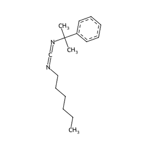 CCCCCCN=C=NC(C)(C)c1ccccc1